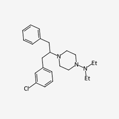 CCN(CC)N1CCN(C(Cc2ccccc2)Cc2cccc(Cl)c2)CC1